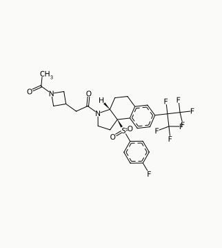 CC(=O)N1CC(CC(=O)N2CC[C@@]3(S(=O)(=O)c4ccc(F)cc4)c4ccc(C(F)(C(F)(F)F)C(F)(F)F)cc4CC[C@@H]23)C1